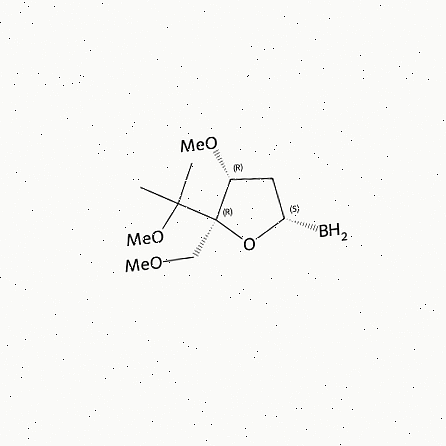 B[C@H]1C[C@@H](OC)[C@](COC)(C(C)(C)OC)O1